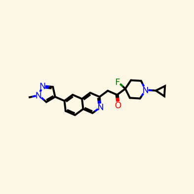 Cn1cc(-c2ccc3cnc(CC(=O)C4(F)CCN(C5CC5)CC4)cc3c2)cn1